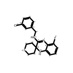 Fc1cccc2c1N=C(NCc1cccc(Cl)c1)C1(CCSCC1)N2